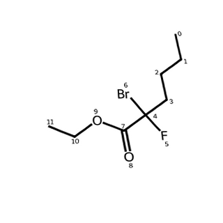 CCCCC(F)(Br)C(=O)OCC